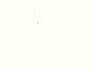 CCCCCCCCCCCCCCCCn1ccc(=O)c(OC2CCCCO2)c1C